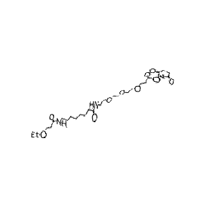 CCOCCC(=O)NCCCCCCCC(=O)NCCOCCOCCOCCC(=O)ON1C(=O)CCC1=O